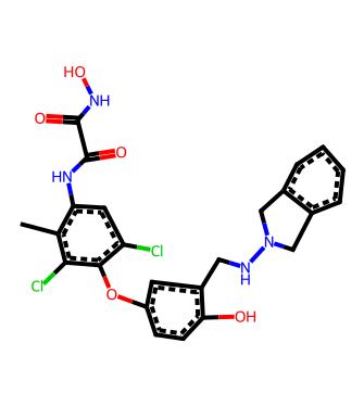 Cc1c(NC(=O)C(=O)NO)cc(Cl)c(Oc2ccc(O)c(CNN3Cc4ccccc4C3)c2)c1Cl